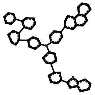 c1ccc(-c2ccccc2-c2ccccc2-c2ccc(N(c3ccc(-c4cccc(-c5cc6ccccc6o5)c4)cc3)c3ccc(-c4ccc5c(ccc6ccccc65)c4)cc3)cc2)cc1